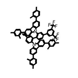 Cc1ccc(-c2ccc3c(c2)c2cc(-c4ccc(C)cc4C)ccc2n3-c2ccc(C#N)cc2-c2ccc(-c3cc(C(F)(F)F)cc(C(F)(F)F)c3)cc2-n2c3ccc(-c4ccc(C)cc4C)cc3c3cc(-c4ccc(C)cc4C)ccc32)c(C)c1